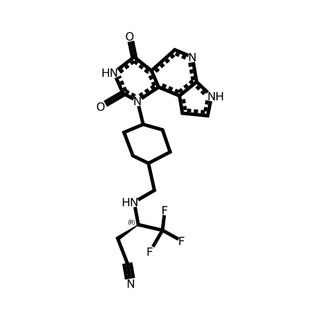 N#CC[C@@H](NCC1CCC(n2c(=O)[nH]c(=O)c3cnc4[nH]ccc4c32)CC1)C(F)(F)F